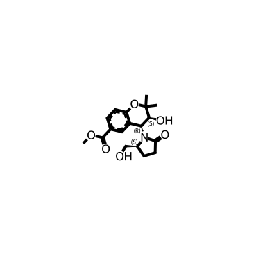 COC(=O)c1ccc2c(c1)[C@@H](N1C(=O)CC[C@H]1CO)[C@H](O)C(C)(C)O2